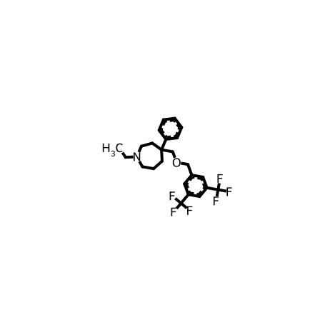 CCN1CCCC(COCc2cc(C(F)(F)F)cc(C(F)(F)F)c2)(c2ccccc2)CC1